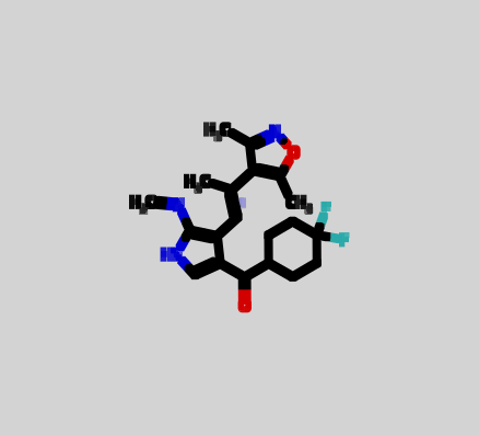 C=Nc1[nH]cc(C(=O)C2CCC(F)(F)CC2)c1/C=C(\C)c1c(C)noc1C